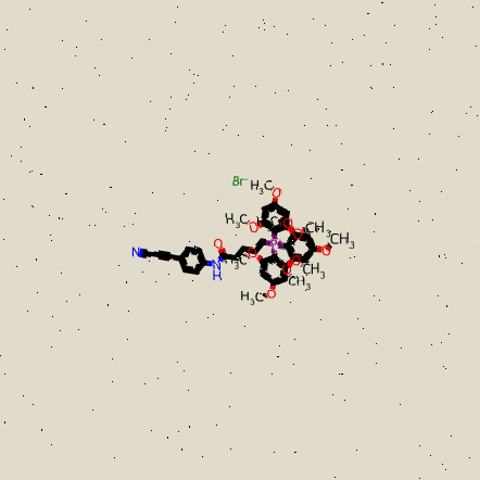 COc1cc(OC)c([P+](CCCCC(=O)Nc2ccc(C#CC#N)cc2)(c2c(OC)cc(OC)cc2OC)c2c(OC)cc(OC)cc2OC)c(OC)c1.[Br-]